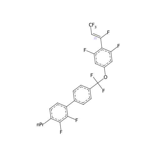 CCCc1ccc(-c2ccc(C(F)(F)Oc3cc(F)c(/C(F)=C/C(F)(F)F)c(F)c3)cc2)c(F)c1F